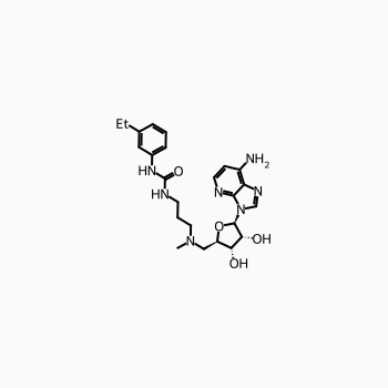 CCc1cccc(NC(=O)NCCCN(C)C[C@H]2O[C@@H](n3cnc4c(N)ccnc43)[C@H](O)[C@@H]2O)c1